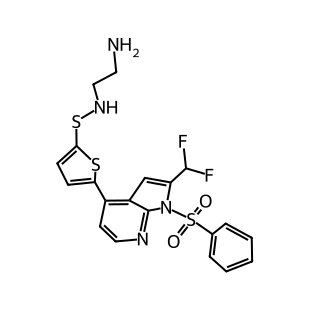 NCCNSc1ccc(-c2ccnc3c2cc(C(F)F)n3S(=O)(=O)c2ccccc2)s1